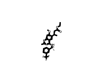 CCOC(=O)CC(C)c1cc2c(N[C@H](C)c3cccc(C(F)(F)F)c3)nc(C)nc2cc1OC